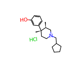 C[C@H]1CN(CC2CCCC2)CC[C@]1(C)c1cccc(O)c1.Cl